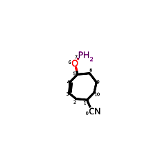 N#CC1C/C=C\C(OP)CCC1